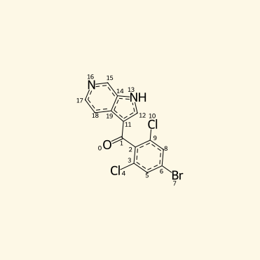 O=C(c1c(Cl)cc(Br)cc1Cl)c1c[nH]c2cnccc12